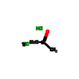 CN[Si](C)=O.Cl.Cl.[Ti]